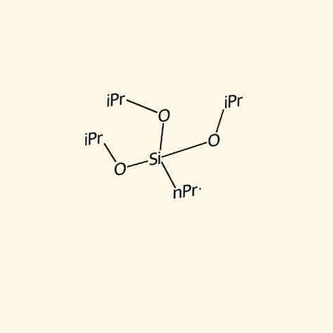 CC[CH][Si](OC(C)C)(OC(C)C)OC(C)C